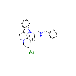 CC[C@]12CCCN3CCc4c(n(c5ccccc45)C(CNCc4ccccc4)C1)[C@@H]32.Cl.Cl